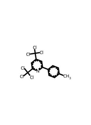 Cc1ccc(-c2cc(C(Cl)(Cl)Cl)cc(C(Cl)(Cl)Cl)n2)cc1